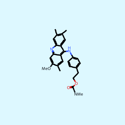 CNC(=O)OCCc1ccc(Nc2c3cc(C)c(C)cc3nc3cc(OC)c(C)cc23)cc1